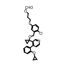 O=COCCCSc1ccc(Cl)c(COC2(c3cnccc3-c3ccccc3OC3CC3)CC2)c1